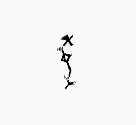 CC(=O)NCC12CC(NC(C)(C)C)(C1)C2